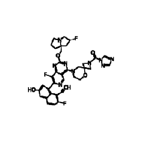 C#Cc1c(F)ccc2cc(O)cc(-c3ncc4c(N5CCOC6(CN(C(=O)n7cncn7)C6)C5)nc(OC[C@@]56CCCN5C[C@H](F)C6)nc4c3F)c12